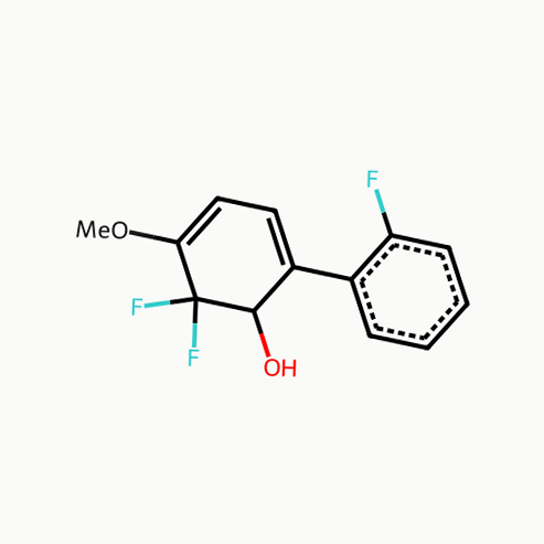 COC1=CC=C(c2ccccc2F)C(O)C1(F)F